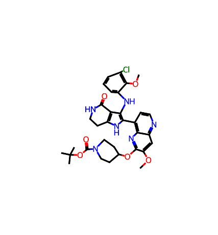 COc1cc2nccc(-c3[nH]c4c(c3Nc3cccc(Cl)c3OC)C(=O)NCC4)c2nc1OC1CCN(C(=O)OC(C)(C)C)CC1